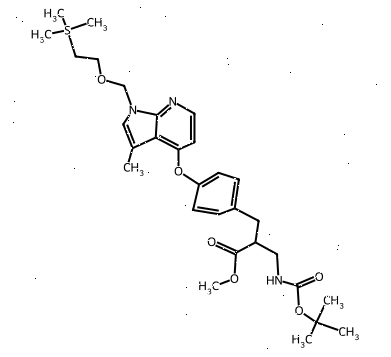 COC(=O)C(CNC(=O)OC(C)(C)C)Cc1ccc(Oc2ccnc3c2c(C)cn3COCCS(C)(C)C)cc1